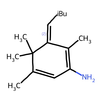 CCC(C)/C=C1\C(C)=C(N)C=C(C)C1(C)C